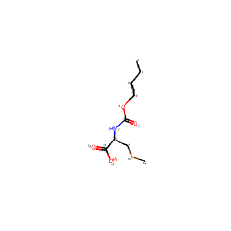 CCCCOC(=O)N[C@@H](CSC)C(=O)O